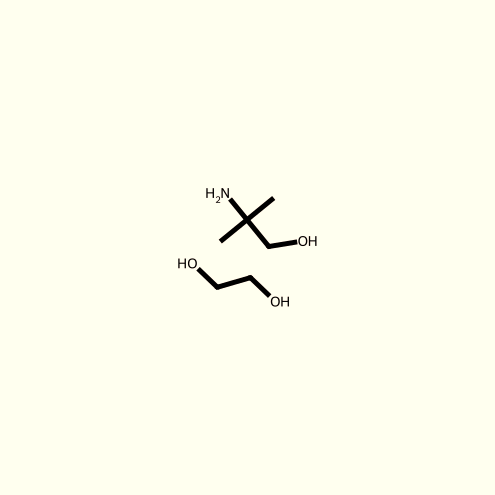 CC(C)(N)CO.OCCO